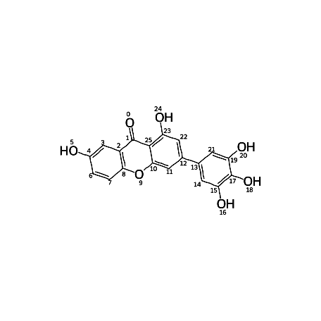 O=c1c2cc(O)ccc2oc2cc(-c3cc(O)c(O)c(O)c3)cc(O)c12